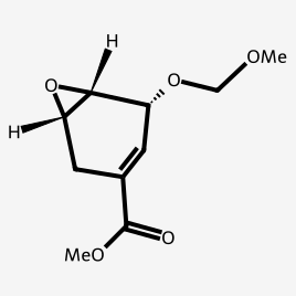 COCO[C@@H]1C=C(C(=O)OC)C[C@@H]2O[C@@H]21